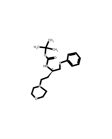 CC(C)(C)OC(=O)N[C@H](CCN1CCOCC1)CSc1ccccc1